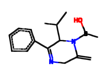 C=C1CN=C(c2ccccc2)C(C(C)C)N1B(C)O